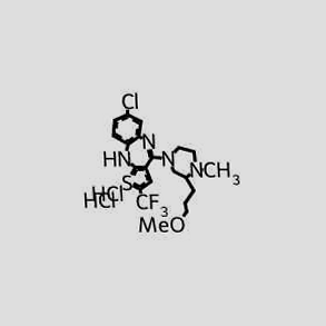 COCCCC1CN(C2=Nc3cc(Cl)ccc3Nc3sc(C(F)(F)F)cc32)CCN1C.Cl.Cl